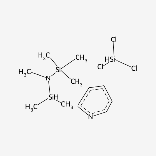 CN([SiH](C)C)[Si](C)(C)C.Cl[SiH](Cl)Cl.c1ccncc1